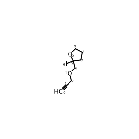 C#CCOCC1(I)CCCO1